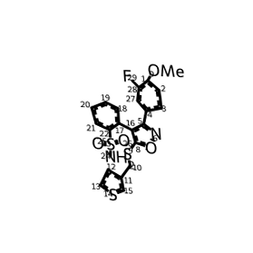 COc1ccc(-c2noc(SCc3ccsc3)c2-c2ccccc2S(N)(=O)=O)cc1F